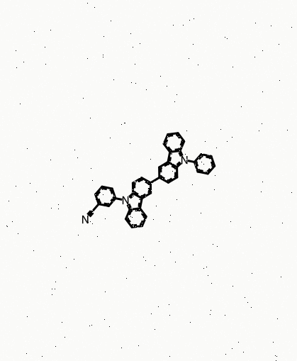 N#Cc1cccc(-n2c3ccccc3c3cc(-c4ccc5c(c4)c4ccccc4n5-c4ccccc4)ccc32)c1